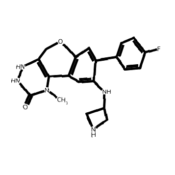 CN1C(=O)NNC2=C1c1cc(NC3CNC3)c(-c3ccc(F)cc3)cc1OC2